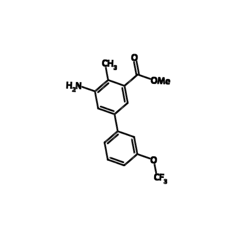 COC(=O)c1cc(-c2cccc(OC(F)(F)F)c2)cc(N)c1C